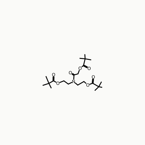 CC(C)(C)C(=O)OCCN(CCOC(=O)C(C)(C)C)C(=O)COC(=O)C(C)(C)C